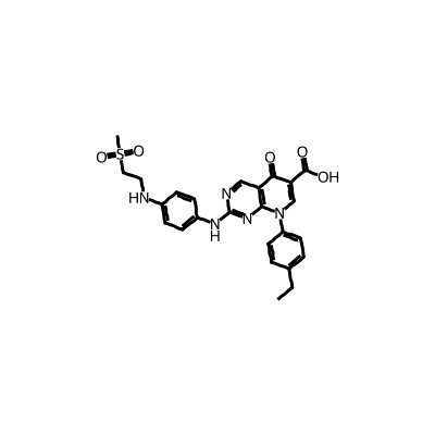 CCc1ccc(-n2cc(C(=O)O)c(=O)c3cnc(Nc4ccc(NCCS(C)(=O)=O)cc4)nc32)cc1